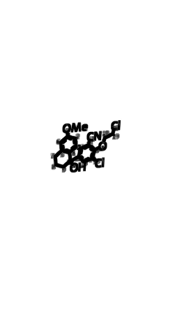 COc1ccc2c(c1)CCCC2(O)c1cc(Cl)c(OCCCl)c(C#N)c1